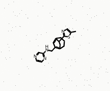 Cc1cnc(C2CC3=C(CNc4cnccn4)C=C2CCC3)s1